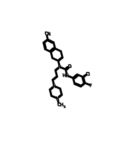 CN1CCN(CCCN(C(=O)Nc2ccc(F)c(Cl)c2)C2CCc3cc(C#N)ccc3C2)CC1